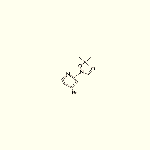 CC(C)(C)ON(C=O)c1cc(Br)ccn1